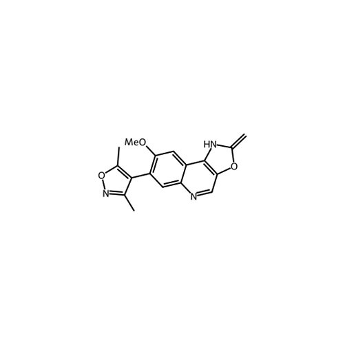 C=C1Nc2c(cnc3cc(-c4c(C)noc4C)c(OC)cc23)O1